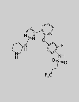 O=S(=O)(CCC(F)(F)F)Nc1ccc(Oc2ncccc2-c2ccnc(N[C@H]3CCCNC3)n2)cc1F